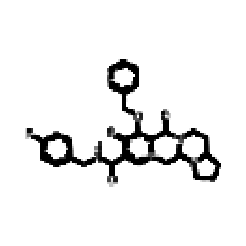 O=C(NCc1ccc(F)cc1)c1cn2c(c(OCc3ccccc3)c1=O)C(=O)N1CCC3CCCN3C1C2